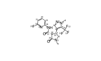 CN1C[C@H](c2cnn(C)c2C(F)(F)F)[C@@H](C(=O)Nc2cccc(F)n2)C1=O